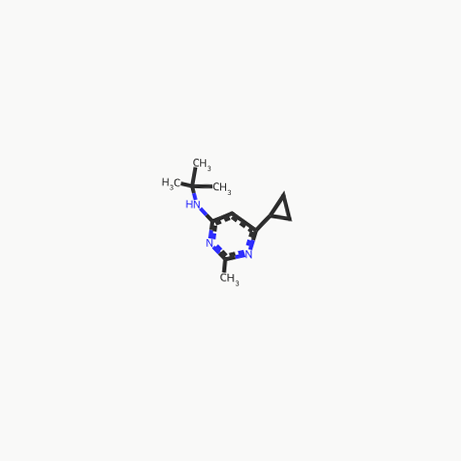 Cc1nc(NC(C)(C)C)cc(C2CC2)n1